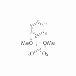 COC(OC)(C([O])=O)c1ccccc1